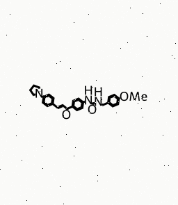 COc1ccc(CNC(=O)Nc2ccc(C(=O)/C=C/c3ccc(N4CCCC4)cc3)cc2)cc1